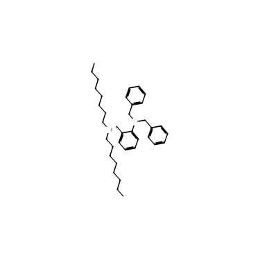 CCCCCCCCNCCCCCCCC.Cc1ccccc1N(Cc1ccccc1)Cc1ccccc1